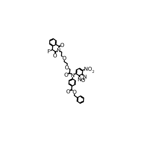 O=C(OCc1ccccc1)c1ccc(N(C(=O)COCCOCCN2C(=O)c3ccccc3C(F)C2=O)c2ccc([N+](=O)[O-])c3nonc23)cc1